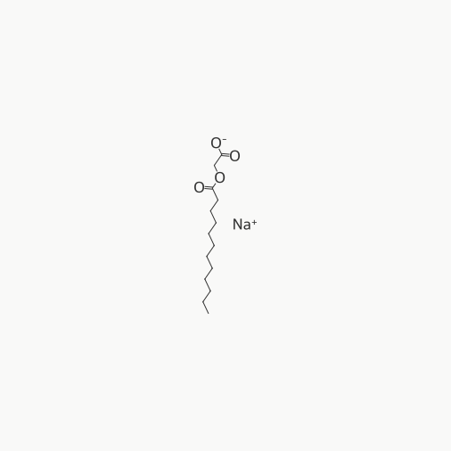 CCCCCCCCCCCC(=O)OCC(=O)[O-].[Na+]